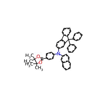 CC1(C)OB(c2ccc(N(c3ccc4c(c3)C(c3ccccc3)(c3ccccc3)c3ccccc3-4)c3ccc4ccccc4c3)cc2)OC1(C)C